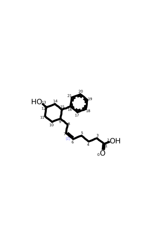 O=C(O)CCC/C=C\CC1CCC(O)CC1c1ccccc1